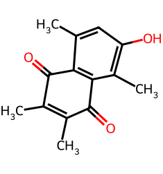 CC1=C(C)C(=O)c2c(C)c(O)cc(C)c2C1=O